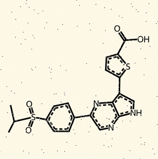 CC(C)S(=O)(=O)c1ccc(-c2cnc3[nH]cc(-c4ccc(C(=O)O)s4)c3n2)cc1